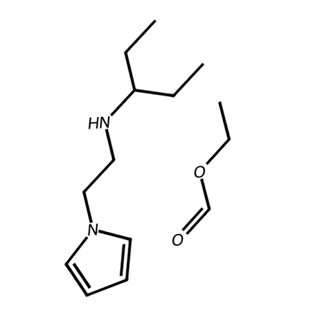 CCC(CC)NCCn1cccc1.CCOC=O